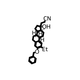 CCc1cc2c(cc1OCc1ccccc1)CC[C@@H]1[C@@H]2CC[C@@]2(C)[C@H]1CC[C@@]2(O)CCC#N